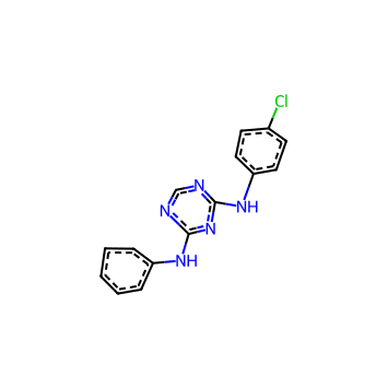 Clc1ccc(Nc2ncnc(Nc3ccccc3)n2)cc1